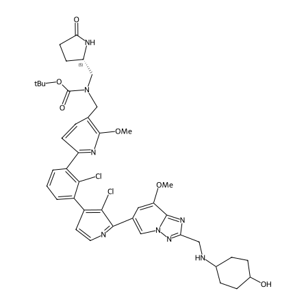 COc1nc(-c2cccc(-c3ccnc(-c4cc(OC)c5nc(CNC6CCC(O)CC6)nn5c4)c3Cl)c2Cl)ccc1CN(C[C@@H]1CCC(=O)N1)C(=O)OC(C)(C)C